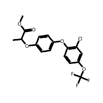 COC(=O)C(C)Oc1ccc(Oc2ccc(OC(F)(F)F)cc2Cl)cc1